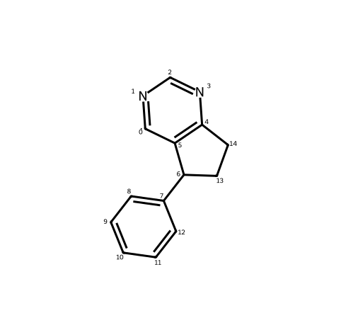 [c]1ncnc2c1C(c1ccccc1)CC2